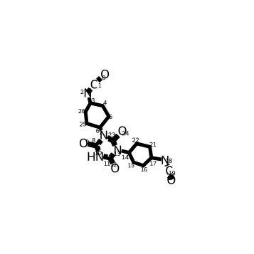 O=C=NC1CCC(n2c(=O)[nH]c(=O)n(C3CCC(N=C=O)CC3)c2=O)CC1